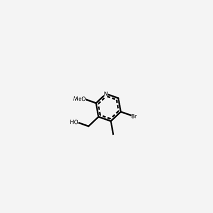 COc1ncc(Br)c(C)c1CO